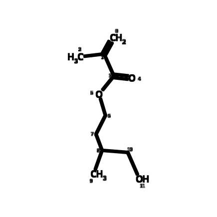 C=C(C)C(=O)OCCC(C)CO